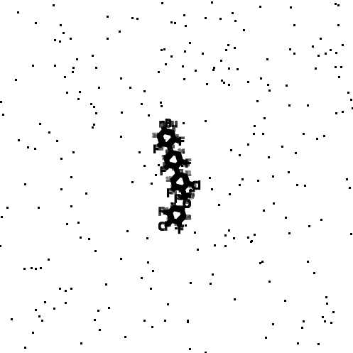 CCCCc1cc(F)c(-c2cc(F)c(-c3cc(F)c(C(F)(F)Oc4cc(F)c(Cl)c(F)c4)c(Cl)c3)c(F)c2)c(F)c1